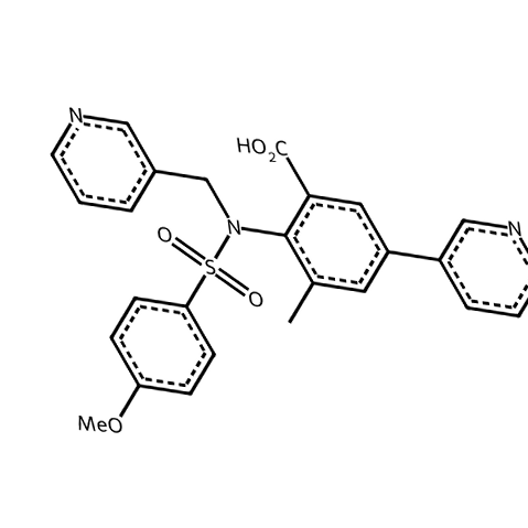 COc1ccc(S(=O)(=O)N(Cc2cccnc2)c2c(C)cc(-c3cccnc3)cc2C(=O)O)cc1